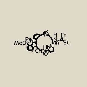 CC[C@@H]1[C@H](CC)[C@H]1C(=O)N[C@H]1Cc2nc(cs2)-c2ccc3c(c2)c(c(-c2cccnc2[C@H](C)OC)n3CC)CC(C)(C)COC(=O)[C@@H]2CCCN(N2)C1=O